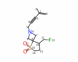 C=C(C)C#CCN1CC2(C1)C(CF)CCS2(=O)=O